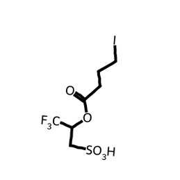 O=C(CCCI)OC(CS(=O)(=O)O)C(F)(F)F